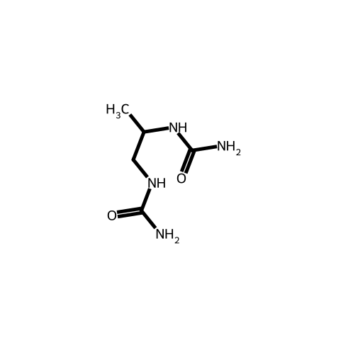 CC(CNC(N)=O)NC(N)=O